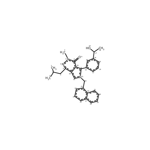 CC(C)Cc1nn(C)c(=O)c2c(-c3cccc(C(C)O)c3)n(Cc3cccc4ccccc34)cc12